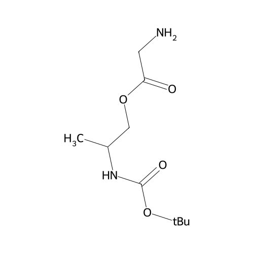 CC(COC(=O)CN)NC(=O)OC(C)(C)C